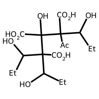 CCC(O)C(C(C)=O)(C(=O)O)C(O)(C(=O)O)C(C(=O)O)(C(O)CC)C(O)CC